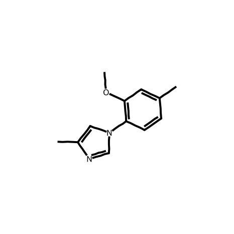 COc1cc(C)ccc1-n1cnc(C)c1